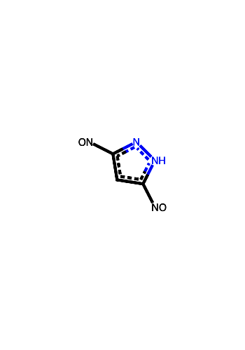 O=Nc1cc(N=O)[nH]n1